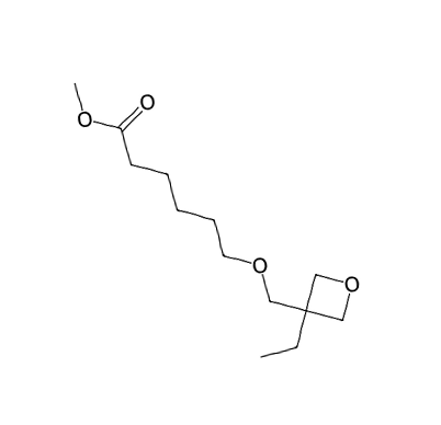 CCC1(COCCCCCC(=O)OC)COC1